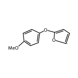 COc1ccc(Oc2cc[c]o2)cc1